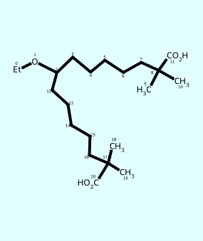 CCOC(CCCCCC(C)(C)C(=O)O)CCCCCC(C)(C)C(=O)O